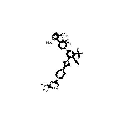 Cc1cnn(C)c1C1CCN(c2cc(N3CC(N4CCN(C(=O)OC(C)(C)C)CC4)C3)c(C#N)c(C(F)(F)F)n2)CC1(C)C